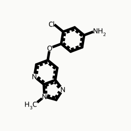 Cn1cnc2cc(Oc3ccc(N)cc3Cl)cnc21